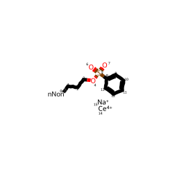 CCCCCCCCCCCCOS(=O)(=O)c1ccccc1.[Ce+4].[Na+]